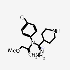 C=C(COC)N(/C(=N\N)C1CCNCC1)c1ccc(Cl)cc1